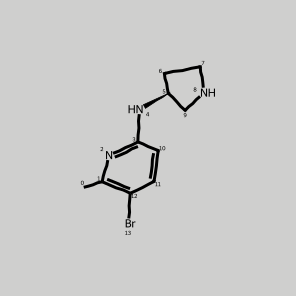 Cc1nc(N[C@H]2CCNC2)ccc1Br